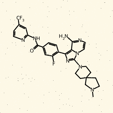 CN1CCC2(CCN(c3nc(-c4ccc(C(=O)Nc5cc(C(F)(F)F)ccn5)cc4F)c4c(N)nccn34)CC2)C1